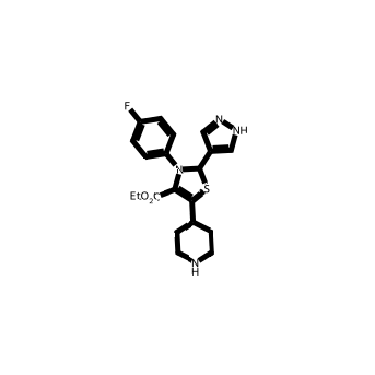 CCOC(=O)C1=C(C2CCNCC2)SC(c2cn[nH]c2)N1c1ccc(F)cc1